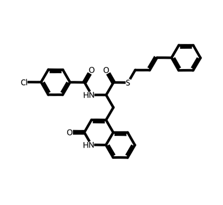 O=C(NC(Cc1cc(=O)[nH]c2ccccc12)C(=O)SCC=Cc1ccccc1)c1ccc(Cl)cc1